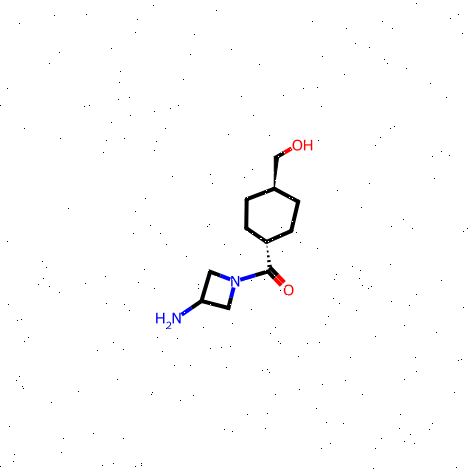 NC1CN(C(=O)[C@H]2CC[C@H](CO)CC2)C1